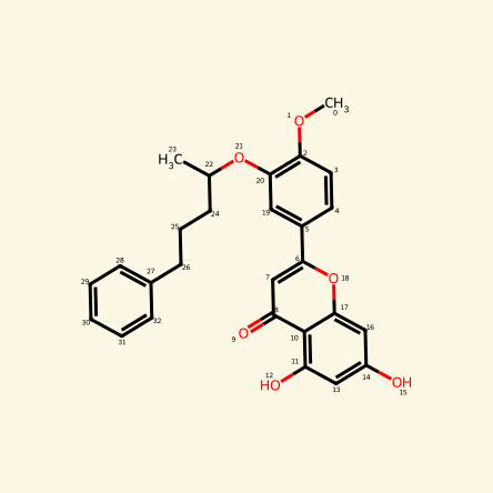 COc1ccc(-c2cc(=O)c3c(O)cc(O)cc3o2)cc1OC(C)CCCc1ccccc1